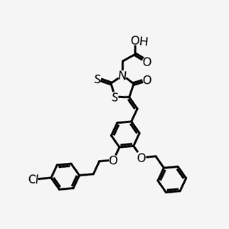 O=C(O)CN1C(=O)/C(=C/c2ccc(OCCc3ccc(Cl)cc3)c(OCc3ccccc3)c2)SC1=S